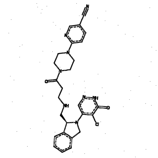 N#Cc1ccc(N2CCN(C(=O)CCNC[C@@H]3c4ccccc4CN3c3cn[nH]c(=O)c3Cl)CC2)nc1